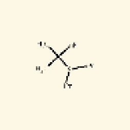 CCCC(C)(C)[Si](C(C)C)C(C)C